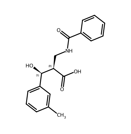 Cc1cccc([C@@H](O)[C@@H](CNC(=O)c2ccccc2)C(=O)O)c1